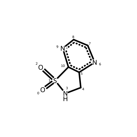 O=S1(=O)NCc2nccnc21